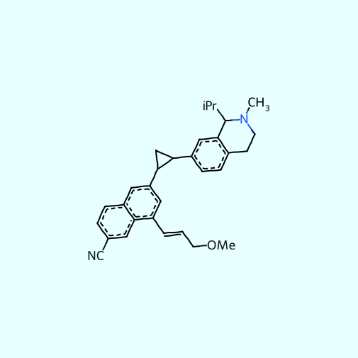 COCC=Cc1cc(C2CC2c2ccc3c(c2)C(C(C)C)N(C)CC3)cc2ccc(C#N)cc12